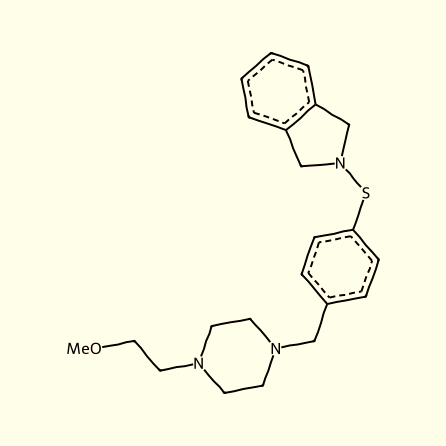 COCCN1CCN(Cc2ccc(SN3Cc4ccccc4C3)cc2)CC1